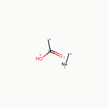 CC(=O)O.[CH3][Na]